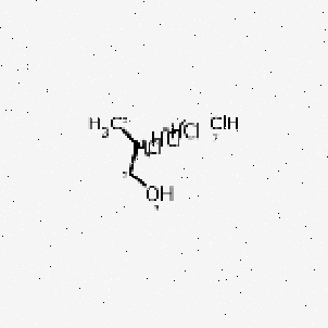 CCCO.Cl.Cl.Cl.Cl